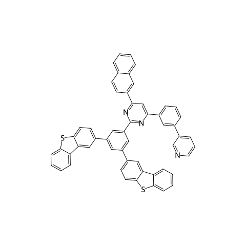 c1cncc(-c2cccc(-c3cc(-c4ccc5ccccc5c4)nc(-c4cc(-c5ccc6sc7ccccc7c6c5)cc(-c5ccc6sc7ccccc7c6c5)c4)n3)c2)c1